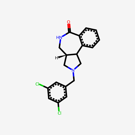 O=C1NC[C@H]2CN(Cc3cc(Cl)cc(Cl)c3)CC2c2ccccc21